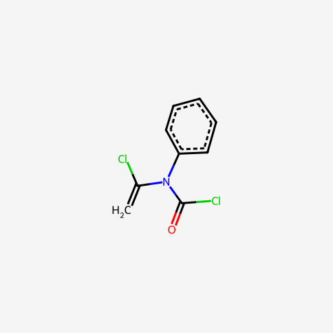 C=C(Cl)N(C(=O)Cl)c1ccccc1